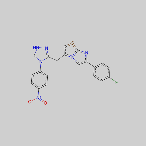 O=[N+]([O-])c1ccc(N2CNN=C2Cc2csc3nc(-c4ccc(F)cc4)cn23)cc1